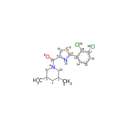 CC1CC(C)CN(C(=O)c2csc(-c3cccc(Cl)c3Cl)n2)C1